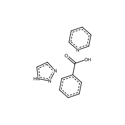 O=C(O)c1ccccc1.c1c[nH]nn1.c1ccncc1